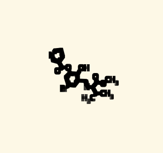 COC(=O)C(N=Cc1cc(Br)cc(OC(=O)c2cccnc2)c1O)C(C)C